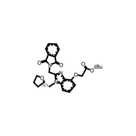 CC(C)(C)OC(=O)COc1cccc2c1nc(CN1C(=O)c3ccccc3C1=O)n2C[C@@H]1CCCO1